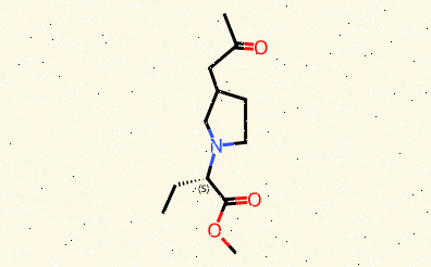 CC[C@@H](C(=O)OC)N1CCC(CC(C)=O)C1